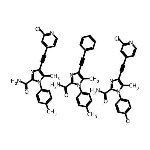 Cc1c(C#Cc2ccnc(Cl)c2)nc(C(N)=O)n1-c1ccc(Cl)cc1.Cc1ccc(-n2c(C(N)=O)nc(C#Cc3ccccc3)c2C)cc1.Cc1ccc(-n2c(C(N)=O)nc(C#Cc3ccnc(Cl)c3)c2C)cc1